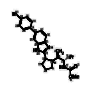 C=C([C@@H](NC(=O)OC)C(C)C)N1CCC[C@H]1c1nc2ccc(-c3ccc(Br)cc3)cc2[nH]1